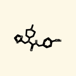 CC(C)COc1ccc(CNC(=O)N(Cc2ncco2)C2CCN(C)CC2)cc1